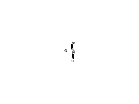 [Te]=[Ni]=[Te].[W]